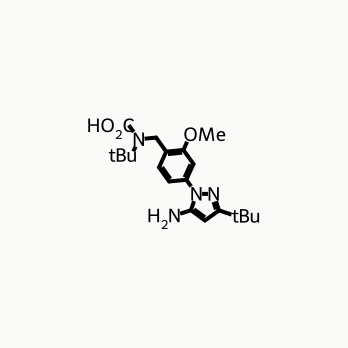 COc1cc(-n2nc(C(C)(C)C)cc2N)ccc1CN(C(=O)O)C(C)(C)C